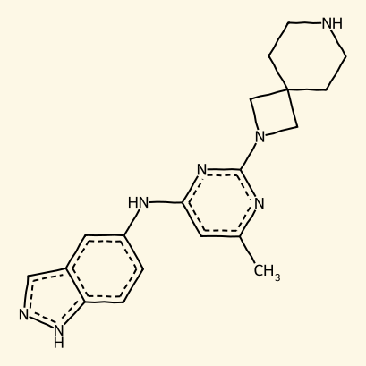 Cc1cc(Nc2ccc3[nH]ncc3c2)nc(N2CC3(CCNCC3)C2)n1